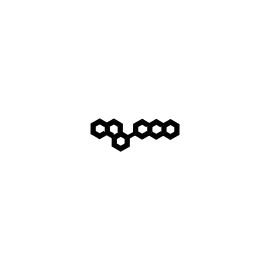 c1ccc2cc3cc(-c4cccc5c4ccc4ccccc45)ccc3cc2c1